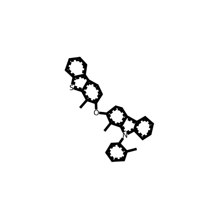 Cc1ccccc1-n1c2ccccc2c2ccc(Oc3ccc4c(sc5ccccc54)c3C)c(C)c21